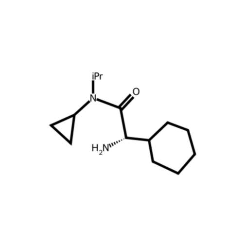 CC(C)N(C(=O)[C@@H](N)C1CCCCC1)C1CC1